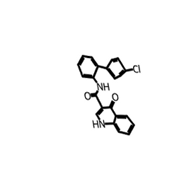 O=C(Nc1ccccc1-c1ccc(Cl)cc1)c1c[nH]c2ccccc2c1=O